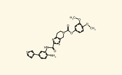 COc1ccc(OC(=O)N2CCc3nc(C(=O)Nc4cc(-c5ccsc5)ccc4N)sc3C2)cc1OC